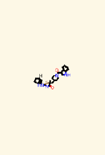 CC1(CC2CCN(C(=O)c3c[nH]c4ccccc34)CC2)SC(N[C@H]2C[C@@H]3CCC2C3)=NC1=O